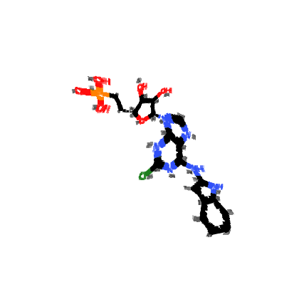 O=P(O)(O)CC[C@H]1O[C@@H](n2cnc3c(Nc4cc5ccccc5[nH]4)nc(Cl)nc32)C(O)C1O